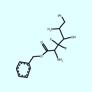 CC(C)CC(N)C(O)C(F)(F)C(N)C(=O)OCc1ccccc1